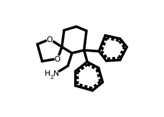 NCC1C2(CCCC1(c1ccccc1)c1ccccc1)OCCO2